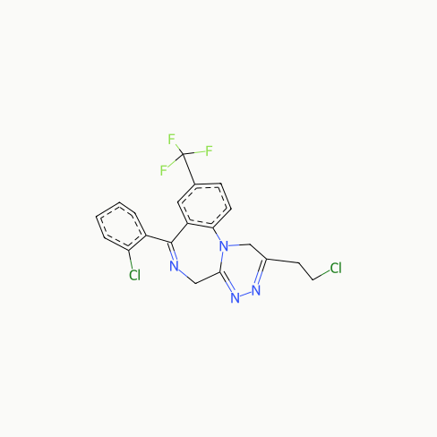 FC(F)(F)c1ccc2c(c1)C(c1ccccc1Cl)=NCC1=NN=C(CCCl)CN12